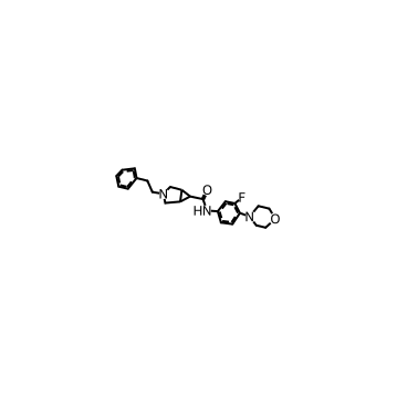 O=C(Nc1ccc(N2CCOCC2)c(F)c1)C1C2CN(CCc3ccccc3)CC21